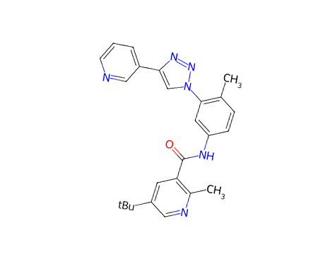 Cc1ccc(NC(=O)c2cc(C(C)(C)C)cnc2C)cc1-n1cc(-c2cccnc2)nn1